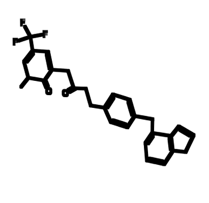 CC1C=C(C(F)(F)F)C=C(CC(=O)CCc2ccc(Cc3cccc4c3C=CC4)cc2)C1=O